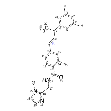 Cc1cc(C)cc(C(/C=C/c2ccc(C(=O)NCc3nccn3C)c(C)c2)C(F)(F)F)c1